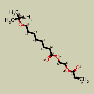 C=CC(=O)OCCOC(=O)CCCCCCCOC(C)(C)C